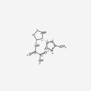 Cc1cc([C@@H]2CCCN2)on1.O=C(O)C(=O)O